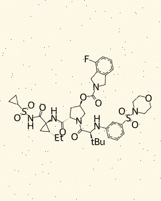 CC[C@@H]1C[C@]1(NC(=O)[C@@H]1C[C@@H](OC(=O)N2Cc3cccc(F)c3C2)CN1C(=O)[C@@H](Nc1cccc(S(=O)(=O)N2CCOCC2)c1)C(C)(C)C)C(=O)NS(=O)(=O)C1CC1